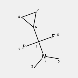 CN(C)C(F)(F)C1CC1